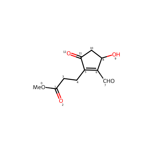 COC(=O)CCC1=C(C=O)C(O)CC1=O